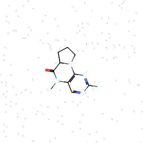 CN1C(=O)C2CCCN2c2nc(Cl)ncc21